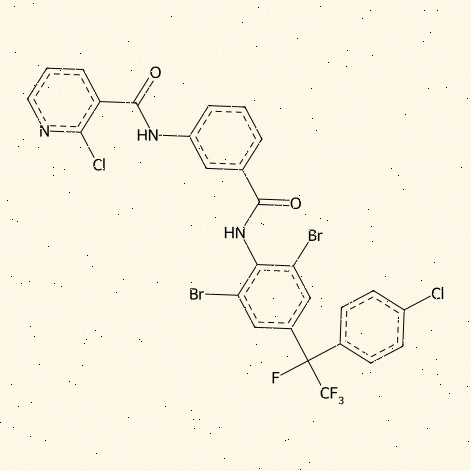 O=C(Nc1c(Br)cc(C(F)(c2ccc(Cl)cc2)C(F)(F)F)cc1Br)c1cccc(NC(=O)c2cccnc2Cl)c1